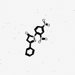 O=C1CC(c2ccccc2)=NN1c1ccc([N+](=O)[O-])cc1[N+](=O)[O-]